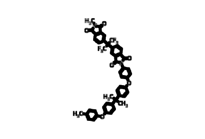 Cc1ccc(Oc2ccc(C(C)(C)c3ccc(Oc4ccc(N5C(=O)c6ccc(C(c7ccc8c(c7)C(=O)N(C)C8=O)(C(F)(F)F)C(F)(F)F)cc6C5=O)cc4)cc3)cc2)cc1